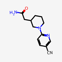 N#Cc1ccc(N2CCCC(CC(N)=O)C2)nc1